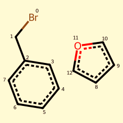 BrCc1ccccc1.c1ccoc1